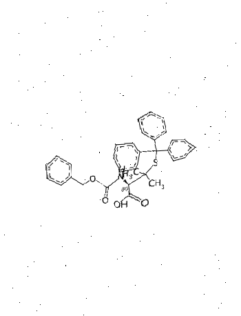 CC(C)(SC(c1ccccc1)(c1ccccc1)c1ccccc1)[C@H](NC(=O)OCc1ccccc1)C(=O)O